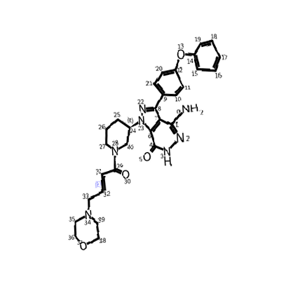 Nc1n[nH]c(=O)c2c1c(-c1ccc(Oc3ccccc3)cc1)nn2[C@@H]1CCCN(C(=O)/C=C/CN2CCOCC2)C1